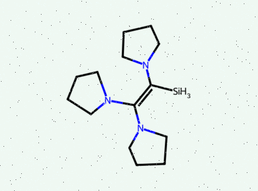 [SiH3]C(=C(N1CCCC1)N1CCCC1)N1CCCC1